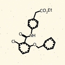 CCOC(=O)Cc1ccc(NC(=O)c2c(Cl)cccc2OCc2ccccc2)cc1